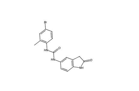 Cc1cc(Br)ccc1NC(=O)Nc1ccc2c(c1)CC(=O)N2